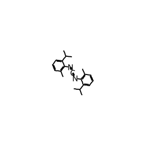 Cc1cccc(C(C)C)c1N=C=Nc1c(C)cccc1C(C)C